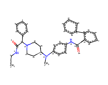 CCNC(=O)C(c1ccccc1)N1CCC(N(C)c2ccc(NC(=O)c3ccccc3-c3ccccc3)cc2)CC1